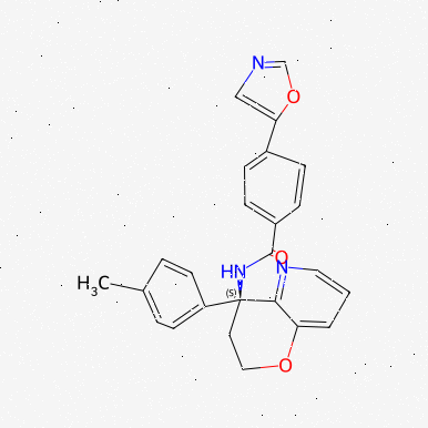 Cc1ccc([C@@]2(NC(=O)c3ccc(-c4cnco4)cc3)CCOc3cccnc32)cc1